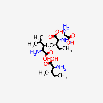 CC(C)C[C@H](N)C(=O)O.CC[C@@H](C)[C@H](N)C(=O)O.CC[C@H](C)[C@H](N)C(=O)O.NCC(=O)O